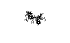 C=C[C@@]1(O)[C@H](O)C(COP(=S)(NC(C)C(=O)OC(C)C)Oc2ccccc2)O[C@H]1n1ccc(=O)[nH]c1=O